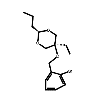 CCC[C@H]1OC[C@@](CC)(OCc2ccccc2Br)CO1